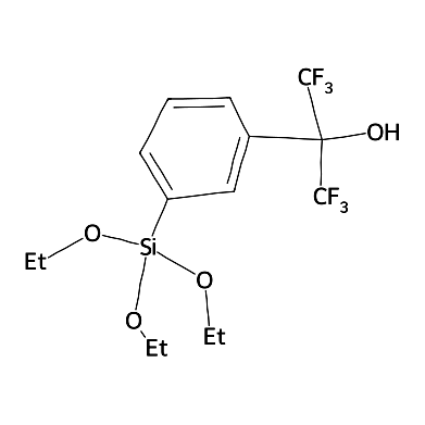 CCO[Si](OCC)(OCC)c1cccc(C(O)(C(F)(F)F)C(F)(F)F)c1